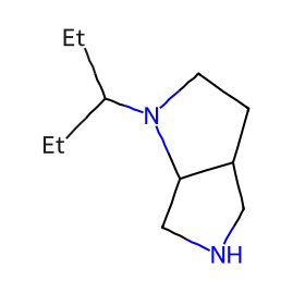 CCC(CC)N1CCC2CNCC21